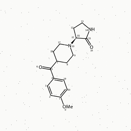 COc1ccc(C(=O)C2CCN([C@H]3CCNC3=O)CC2)cc1